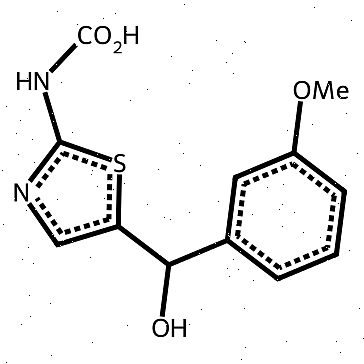 COc1cccc(C(O)c2cnc(NC(=O)O)s2)c1